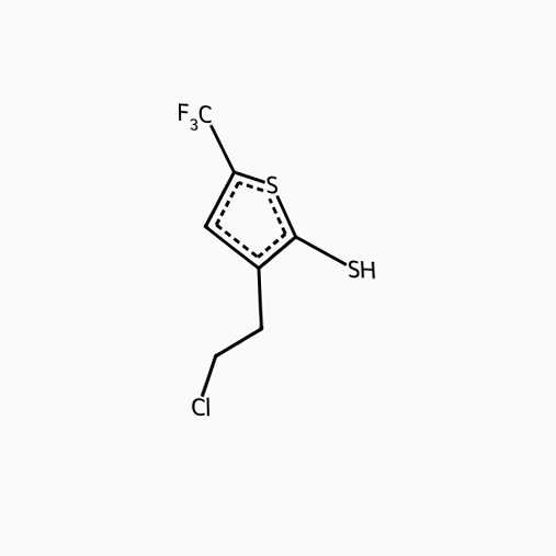 FC(F)(F)c1cc(CCCl)c(S)s1